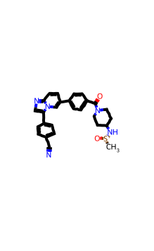 C[S+]([O-])NC1CCN(C(=O)c2ccc(-c3ccc4ncc(-c5ccc(C#N)cc5)n4c3)cc2)CC1